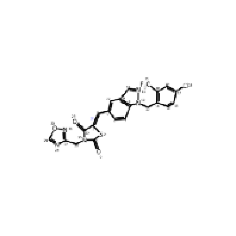 O=C1S/C(=C\c2ccc3c(cnn3Cc3ccc(Cl)cc3C(F)(F)F)c2)C(=O)N1Cc1ncon1